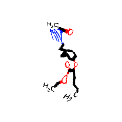 CCCCC(Oc1ccc(CCNC(C)=O)cc1)C(=O)OCC